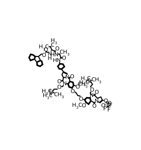 COc1cc2c(cc1OCCCOc1cc3c(cc1OC)C(=O)N1C=C(c4ccc(NC(=O)[C@H](C)NC(=O)[C@@H](NC(=O)OCC5c6ccccc6-c6ccccc65)C(C)C)cc4)CC1C(=O)N3COCC[Si](C)(C)C)N(COCC[Si](C)(C)C)C(=O)C1CC(OS(=O)(=O)C(F)(F)F)=CN1C2=O